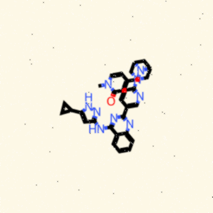 Cn1ccc(CN2C3CC2CN(c2ccc(-c4nc(Nc5cc(C6CC6)[nH]n5)c5ccccc5n4)cn2)C3)cc1=O